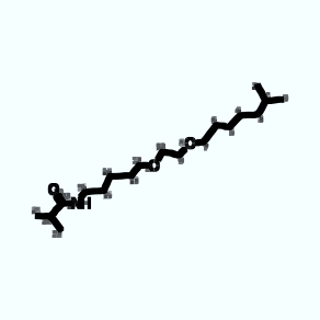 CC(C)CCCCCOCCOCCCCCNC(=O)C(C)C